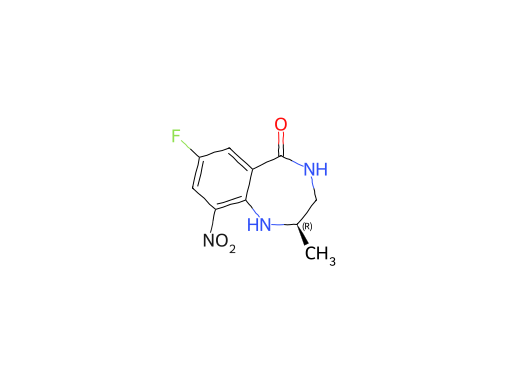 C[C@@H]1CNC(=O)c2cc(F)cc([N+](=O)[O-])c2N1